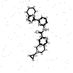 O=C(Nc1cccc(-c2nnc3n2CCCC3)n1)c1cc2c(cn1)CCN(C1CC1)C2